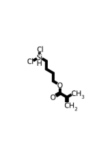 C=C(C)C(=O)OCCCC[SiH](Cl)Cl